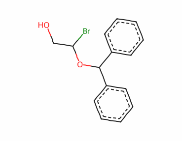 OCC(Br)OC(c1ccccc1)c1ccccc1